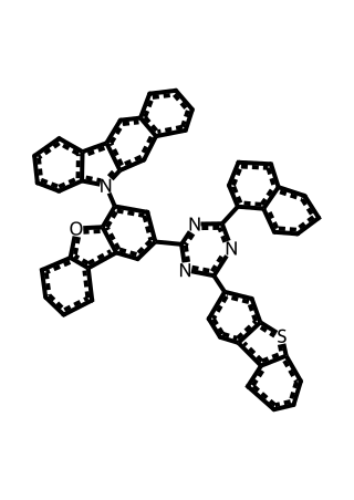 c1ccc2cc3c(cc2c1)c1ccccc1n3-c1cc(-c2nc(-c3ccc4c(c3)sc3ccccc34)nc(-c3cccc4ccccc34)n2)cc2c1oc1ccccc12